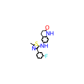 Cc1nc(-c2cccc(F)c2)c(Nc2ccc3c(c2)CCC(=O)N3)s1